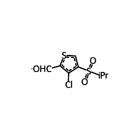 CC(C)S(=O)(=O)c1csc([C]=O)c1Cl